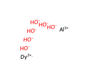 [Al+3].[Dy+3].[OH-].[OH-].[OH-].[OH-].[OH-].[OH-]